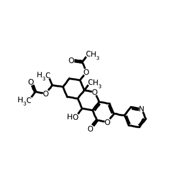 CC(=O)OC(C)C1CC(OC(C)=O)C2(C)Oc3cc(-c4cccnc4)oc(=O)c3C(O)C2C1